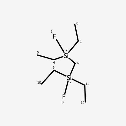 CC[Si](F)(CC)C[Si](F)(CC)CC